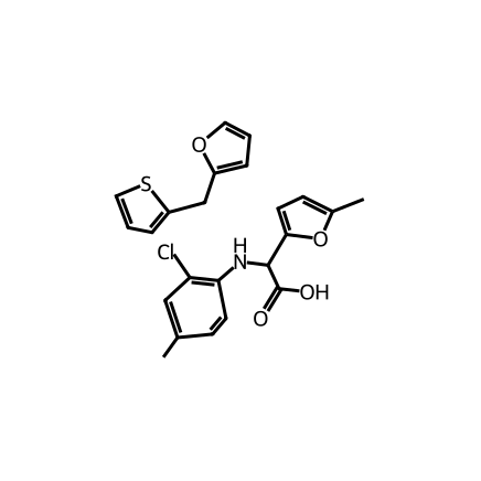 Cc1ccc(NC(C(=O)O)c2ccc(C)o2)c(Cl)c1.c1coc(Cc2cccs2)c1